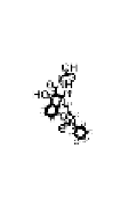 O=C(O)CNC(=O)c1c(O)c2ccccc2n(C[C@H]2CN(c3ccccc3)C(=O)O2)c1=O